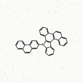 c1ccc2c(c1)ccc1cc(-n3c4ccccc4c4c5c6ccccc6ccc5c5ccccc5c43)ccc12